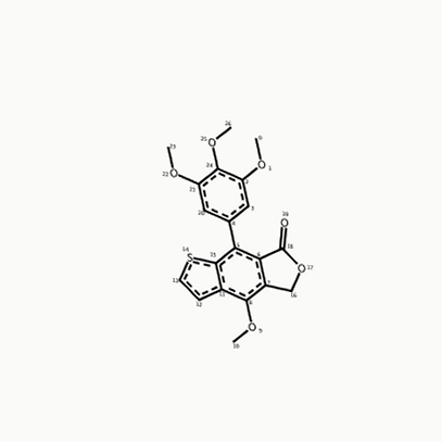 COc1cc(-c2c3c(c(OC)c4ccsc24)COC3=O)cc(OC)c1OC